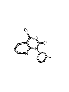 Cc1cccc(-n2c(=O)oc(=O)c3cccnc32)c1